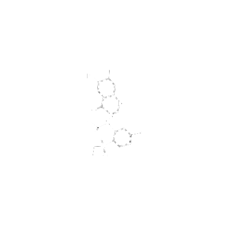 CCS(=O)(=O)c1ccc(Cl)cc1N(C(=O)O)n1cnc2cc(C)c(Br)cc2c1=O